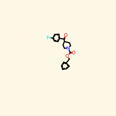 O=C(c1ccc(F)cc1)C1CCN(C(=O)OCc2ccccc2)CC1